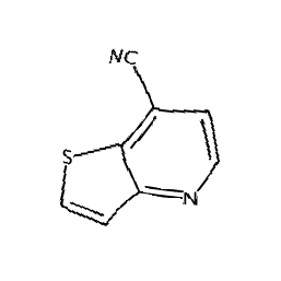 N#Cc1ccnc2ccsc12